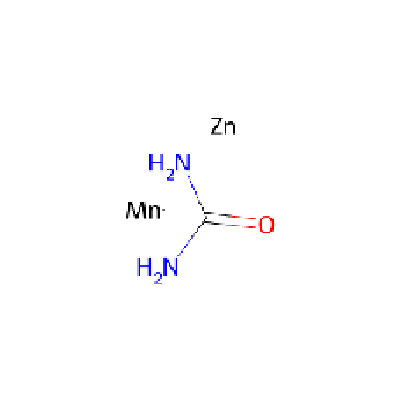 NC(N)=O.[Mn].[Zn]